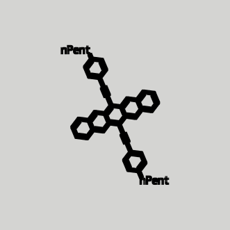 CCCCCc1ccc(C#Cc2c3cc4ccccc4cc3c(C#Cc3ccc(CCCCC)cc3)c3cc4ccccc4cc23)cc1